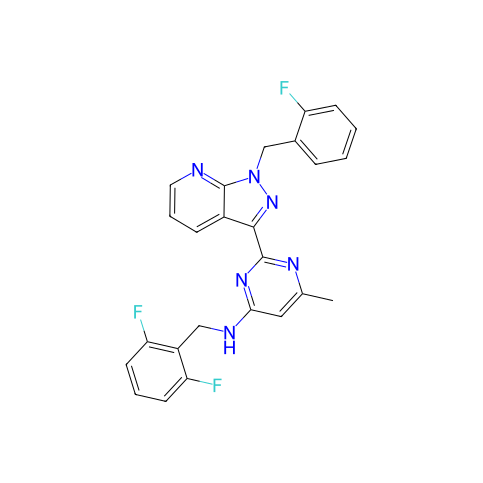 Cc1cc(NCc2c(F)cccc2F)nc(-c2nn(Cc3ccccc3F)c3ncccc23)n1